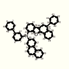 c1ccc(-c2cccc(N(c3ccc4c(ccc5ccccc54)c3)c3cccc4c3oc3c5ccccc5c(-c5ccccc5)cc43)c2)cc1